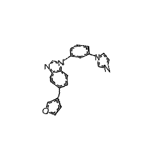 c1cc(-n2ccnc2)cc(-n2cnc3cc(-c4ccoc4)ccc32)c1